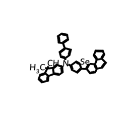 CC1(C)c2ccccc2-c2ccc(N(c3ccc(-c4ccccc4)cc3)c3ccc4c(c3)[se]c3c4ccc4ccc5ccccc5c43)cc21